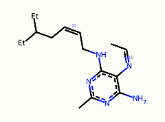 C/C=N\c1c(N)nc(C)nc1NC/C=C\CC(CC)CC